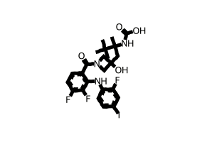 CC(C)(C)C(C)(CC1(O)CN(C(=O)c2ccc(F)c(F)c2Nc2ccc(I)cc2F)C1)NC(=O)O